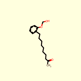 CC(=O)CCCCCCCCc1ccccc1OCO